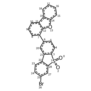 O=S1(=O)c2ccc(-c3cccc4c3oc3ccccc34)cc2-c2ccc(Br)cc21